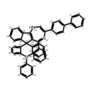 C1=C(c2ccc(-c3ccccc3)cc2)N=C(c2ccccc2)C2=C(N1)c1ccccc1C21c2ccccc2N(c2ccccc2)c2ccccc21